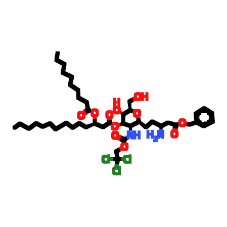 CCCCCCCCCCC[C@H](CC(=O)O[C@H]1[C@H](O)[C@@H](CO)O[C@@H](CC[C@H](N)CC(=O)OCc2ccccc2)[C@@H]1NC(=O)OCC(Cl)(Cl)Cl)OC(=O)CCCCCCCCC